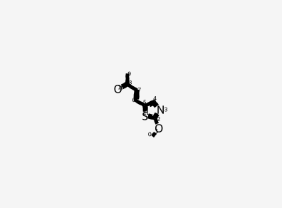 COc1ncc(C=CC(C)=O)s1